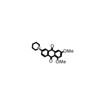 COc1cc(OC)c2c(c1)C(=O)c1cc(N3CCCCC3)ccc1C2=O